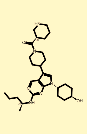 CCC[C@H](C)Nc1ncc2c(C3CCN(C(=O)[C@@H]4CCCNC4)CC3)cn([C@H]3CC[C@H](O)CC3)c2n1